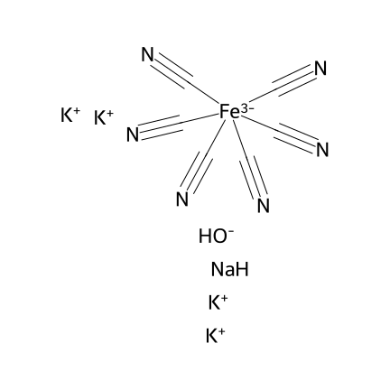 N#[C][Fe-3]([C]#N)([C]#N)([C]#N)([C]#N)[C]#N.[K+].[K+].[K+].[K+].[NaH].[OH-]